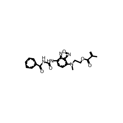 C=C(C)C(=O)OCCN(C)c1ccc(NC(=O)NC(=O)c2ccccc2)c2nonc12